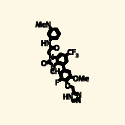 CNc1cccc(NC(=O)Cn2c(=O)n(C)c3c(-c4cc(F)c(OCc5nnc[nH]5)c(OC)c4)cc(C(F)(F)F)cc32)c1